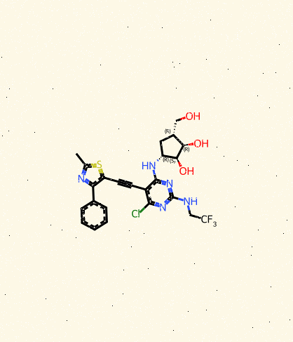 Cc1nc(-c2ccccc2)c(C#Cc2c(Cl)nc(NCC(F)(F)F)nc2N[C@@H]2C[C@H](CO)[C@@H](O)[C@H]2O)s1